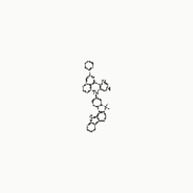 CC1(C)c2cc(N3c4cncnc4-c4cc(-c5ccccc5)cc5cccc3c45)ccc2-c2c1ccc1c2sc2ccccc21